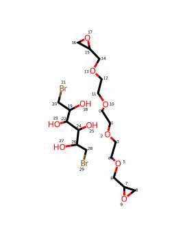 C(COCCOCC1CO1)OCCOCC1CO1.OC(CBr)C(O)C(O)C(O)CBr